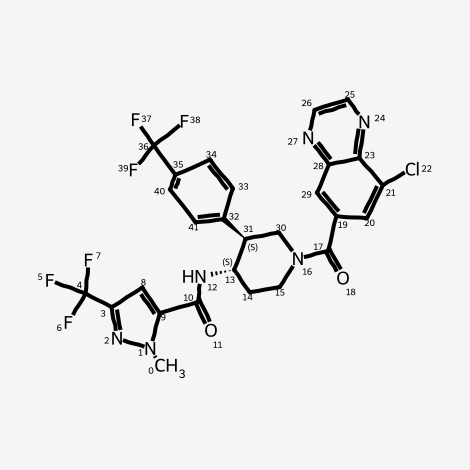 Cn1nc(C(F)(F)F)cc1C(=O)N[C@H]1CCN(C(=O)c2cc(Cl)c3nccnc3c2)C[C@@H]1c1ccc(C(F)(F)F)cc1